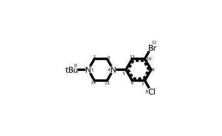 CC(C)(C)N1CCN(c2cc(Cl)cc(Br)c2)CC1